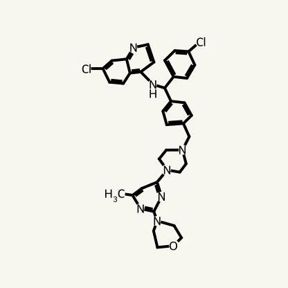 Cc1cc(N2CCN(Cc3ccc(C(Nc4ccnc5cc(Cl)ccc45)c4ccc(Cl)cc4)cc3)CC2)nc(N2CCOCC2)n1